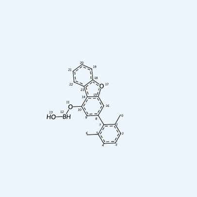 Cc1cccc(C)c1-c1cc(OBO)c2c(c1)oc1ccccc12